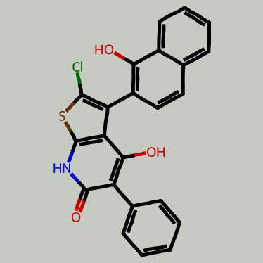 O=c1[nH]c2sc(Cl)c(-c3ccc4ccccc4c3O)c2c(O)c1-c1ccccc1